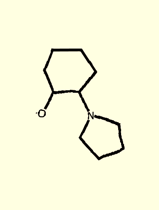 [O]C1CCCCC1N1CCCC1